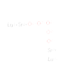 [Lu+3].[Lu+3].[O-2].[O-2].[O-2].[O-2].[O-2].[Sr+2].[Sr+2]